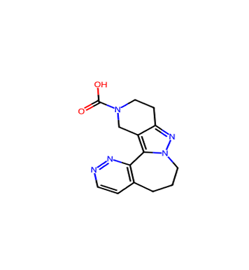 O=C(O)N1CCc2nn3c(c2C1)-c1nnccc1CCC3